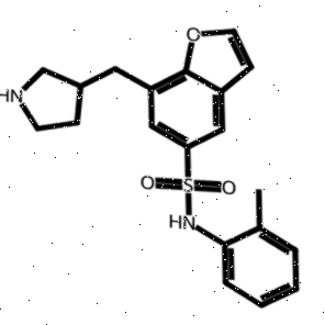 Cc1ccccc1NS(=O)(=O)c1cc(CC2CCNC2)c2occc2c1